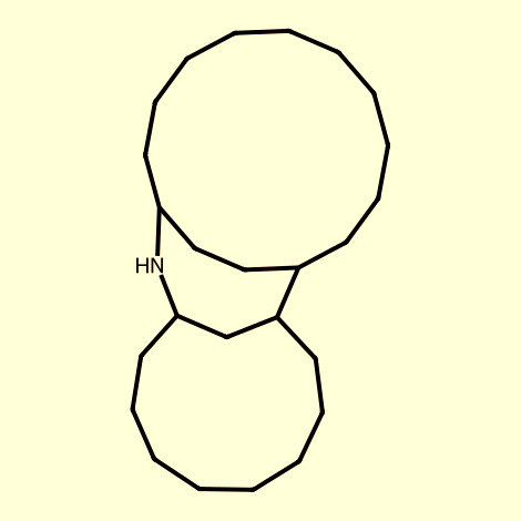 C1CCCCCC2CCC(CCCC1)NC1CCCCCCCCC2C1